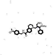 CN/C(=C(\CN)CN1CCCc2cc(C(=O)NCc3ccc([S+](C)[O-])cc3)ccc21)c1ccccc1